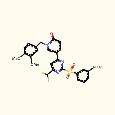 COc1ccc(Cn2cc(-c3cc(C(F)F)nc(S(=O)(=O)c4cccc(NC(C)=O)c4)n3)ccc2=O)cc1OC